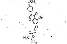 COc1ccc(-c2coc3cc(OCOC(=O)OC(C)C)cc(O)c3c2=O)cc1